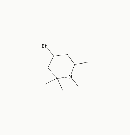 CCC1CC(C)N(C)C(C)(C)C1